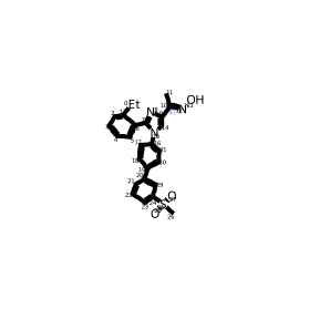 CCc1ccccc1-c1nc(/C(C)=N/O)cn1-c1ccc(-c2cccc(S(C)(=O)=O)c2)cc1